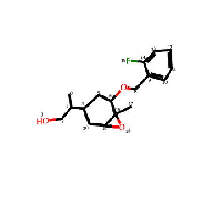 CC(CO)C1CC(OCc2ccccc2F)C2(C)OC2C1